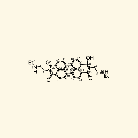 CCNCCN1C(=O)c2ccc3c4ccc5c6c(ccc(c7ccc(c2c37)C1=O)c64)C(O)N(CCNCC)C5=O